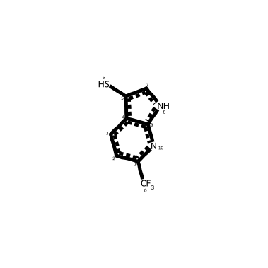 FC(F)(F)c1ccc2c(S)c[nH]c2n1